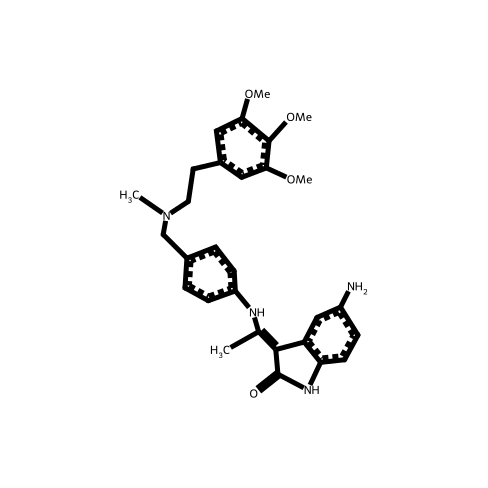 COc1cc(CCN(C)Cc2ccc(NC(C)=C3C(=O)Nc4ccc(N)cc43)cc2)cc(OC)c1OC